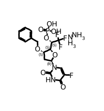 N.N.O=c1[nH]c(=O)n([C@H]2C[C@H](OCc3ccccc3)[C@@H]([C@H](OP(=O)(O)O)C(F)(F)F)O2)cc1F